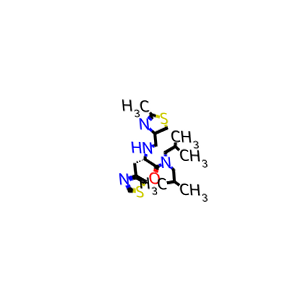 CC1=NC(CN[C@@H](Cc2cscn2)C(=O)N(CC(C)C)CC(C)C)CS1